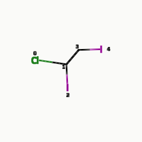 ClC(I)CI